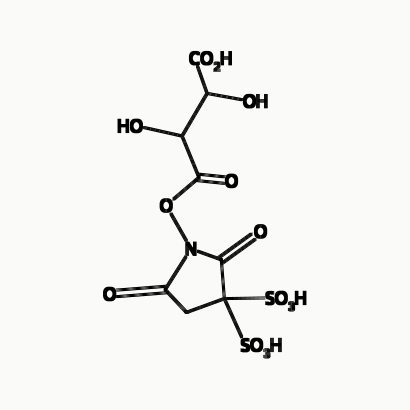 O=C(O)C(O)C(O)C(=O)ON1C(=O)CC(S(=O)(=O)O)(S(=O)(=O)O)C1=O